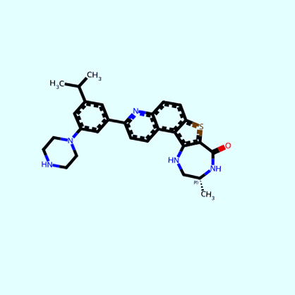 CC(C)c1cc(-c2ccc3c(ccc4sc5c(c43)NC[C@@H](C)NC5=O)n2)cc(N2CCNCC2)c1